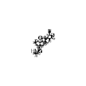 CC1C(=O)C(C#N)=CC2(C)C3=CC(=O)C4C5CC(C)(C)CCC5(CCC(=O)NC(C)(C)C)CCC4C3(C)CCC12